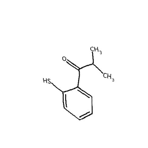 CC(C)C(=O)c1ccccc1S